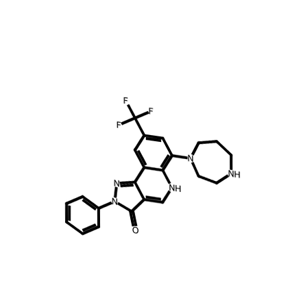 O=c1c2c[nH]c3c(N4CCCNCC4)cc(C(F)(F)F)cc3c-2nn1-c1ccccc1